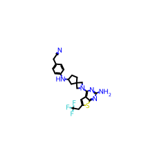 N#CCc1ccc(NC2CCC3(C2)CN(c2nc(N)nc4sc(CC(F)(F)F)cc24)C3)cc1